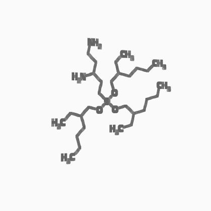 CCCCC(CC)CO[Si](CCC(N)CCN)(OCC(CC)CCCC)OCC(CC)CCCC